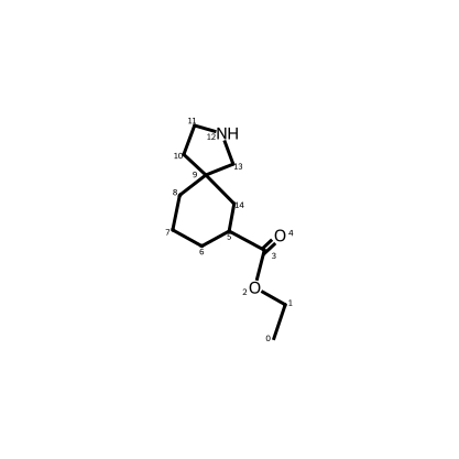 CCOC(=O)C1CCCC2(CCNC2)C1